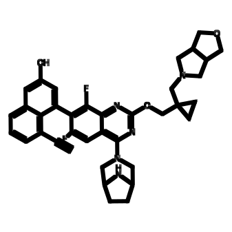 C#Cc1cccc2cc(O)cc(-c3c(F)cc4c(N5CC6CCC(C5)N6)nc(OCC5(CN6CC7COCC7C6)CC5)nc4c3F)c12